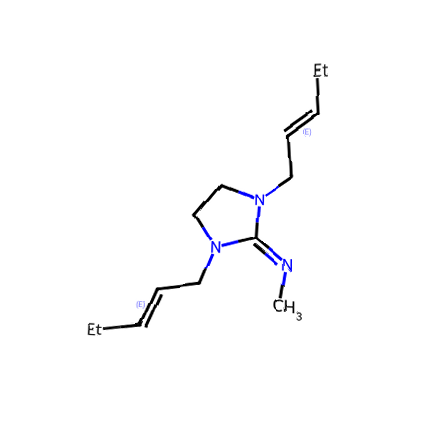 CC/C=C/CN1CCN(C/C=C/CC)C1=NC